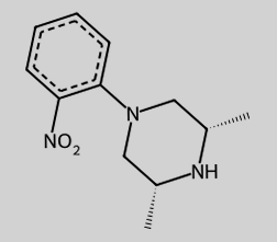 C[C@@H]1CN(c2ccccc2[N+](=O)[O-])C[C@H](C)N1